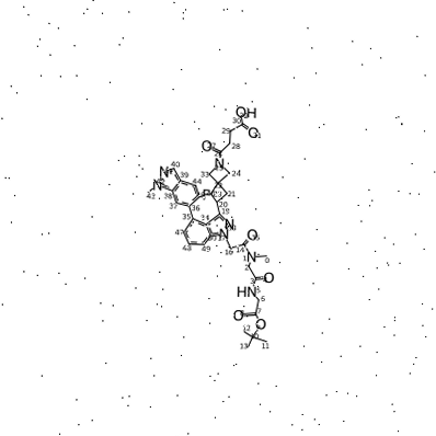 CN(CC(=O)NCC(=O)OC(C)(C)C)C(=O)Cn1nc(C2CC3(C2)CN(C(=O)CCC(=O)O)C3)c2c(-c3cc4c(cnn4C)cc3F)cccc21